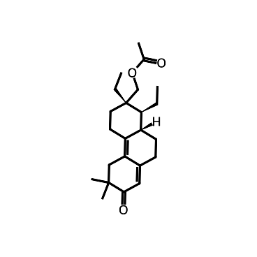 CC[C@H]1[C@@H]2CCC3=CC(=O)C(C)(C)CC3=C2CC[C@]1(CC)COC(C)=O